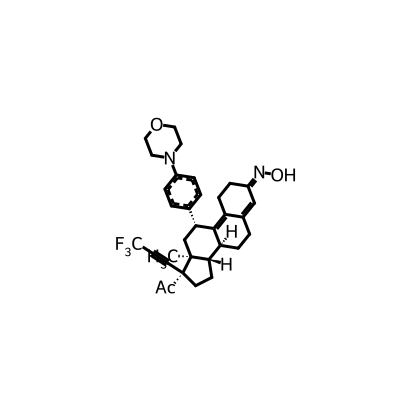 CC(=O)[C@@]1(C#CC(F)(F)F)CC[C@H]2[C@@H]3CCC4=CC(=NO)CCC4=C3[C@@H](c3ccc(N4CCOCC4)cc3)C[C@@]21C